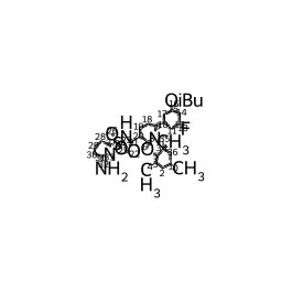 Cc1cc(C)c(Oc2nc(-c3cc(F)cc(OCC(C)C)c3)ccc2C(=O)NS(=O)(=O)c2cccc(N)n2)c(C)c1